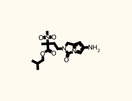 CC(C)COC(=O)C(C)(CCN1Cc2cc(N)cn2C1=O)S(C)(=O)=O